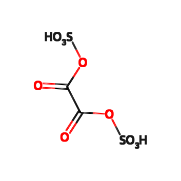 O=C(OS(=O)(=O)O)C(=O)OS(=O)(=O)O